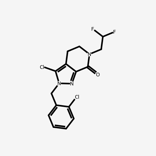 O=C1c2nn(Cc3ccccc3Cl)c(Cl)c2CCN1CC(F)F